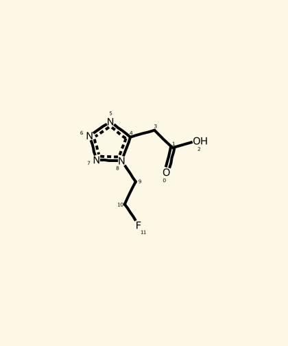 O=C(O)Cc1nnnn1CCF